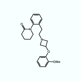 COc1ccccc1OC1CN(CCc2ccccc2N2CCCCC2=O)C1